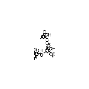 CC(=O)OCc1cc(C)cc(COC(C)=O)c1O.COCc1cc(C(C)(C)C)cc(COC)c1O.COCc1cc(C)cc(COC)c1O